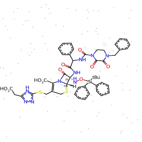 CC(C)(C)[Si](ON[C@@]1(NC(=O)C(NC(=O)N2CCN(Cc3ccccc3)C(=O)C2=O)c2ccccc2)C(=O)N2C(C(=O)O)=C(CSc3nnc(CC(=O)O)[nH]3)CS[C@H]21)(c1ccccc1)c1ccccc1